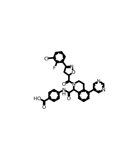 O=C(O)c1ccc(NC(=O)C2c3cccc(-c4cncnc4)c3CCN2C(=O)C2CC(c3cccc(Cl)c3F)=NO2)cc1